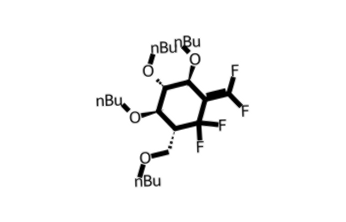 CCCCOC[C@@H]1[C@@H](OCCCC)[C@H](OCCCC)[C@@H](OCCCC)C(=C(F)F)C1(F)F